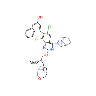 COC(COc1nc(N2CC3CCC(C2)N3)c2cc(Cl)c(-c3cc(O)cc4ccccc34)c(F)c2n1)CN1C2CCC1COC2